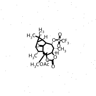 CC(=O)O[C@H]1C(C)=C[C@@]23C(=O)C([C@H]4C(C[C@H]2C)C4(C)C)[C@H](OS(=O)(=O)C(F)(F)F)[C@H](C)[C@H]2OC(=O)OC213